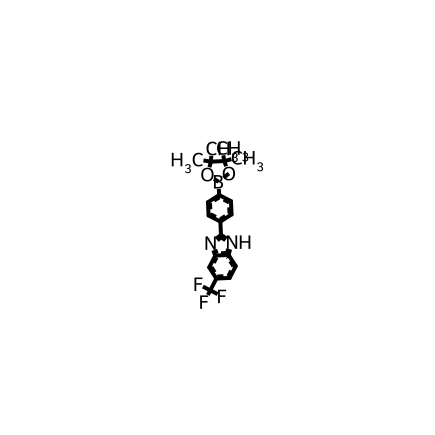 CC1(C)OB(c2ccc(-c3nc4cc(C(F)(F)F)ccc4[nH]3)cc2)OC1(C)C